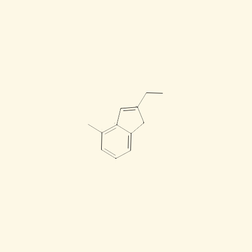 CCC1=Cc2c(C)cccc2[CH]1